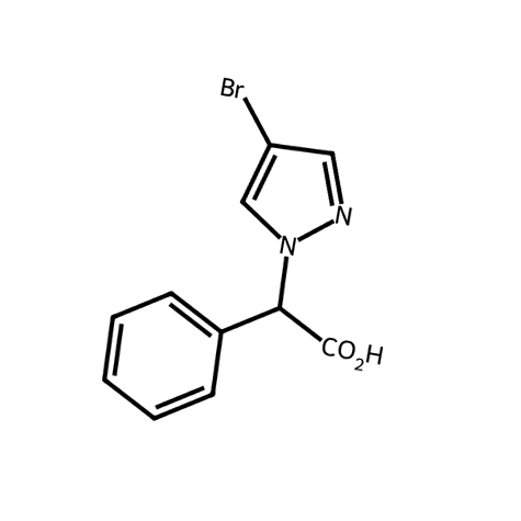 O=C(O)C(c1ccccc1)n1cc(Br)cn1